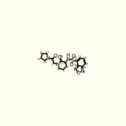 O=C(CN1CCC[C@H](NS(=O)(=O)c2cccc3nonc23)C1=O)N1CCCC1